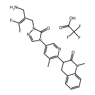 Cc1cc(-n2cnn(CC(CN)=C(F)F)c2=O)cnc1C1Cc2ccccc2N(C)C1=O.O=C(O)C(F)(F)F